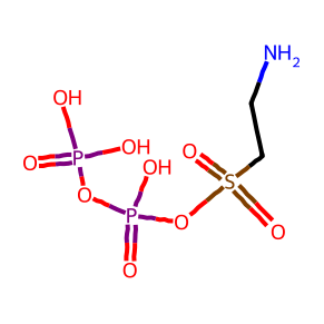 NCCS(=O)(=O)OP(=O)(O)OP(=O)(O)O